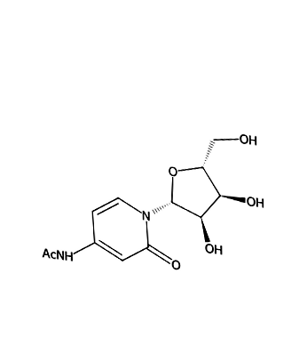 CC(=O)Nc1ccn([C@@H]2O[C@H](CO)[C@@H](O)[C@H]2O)c(=O)c1